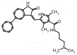 Cc1[nH]c(/C=C2\C(=O)Nc3ccc(-c4ccccc4)cc32)c(C)c1C(=O)NCCCN(C)C